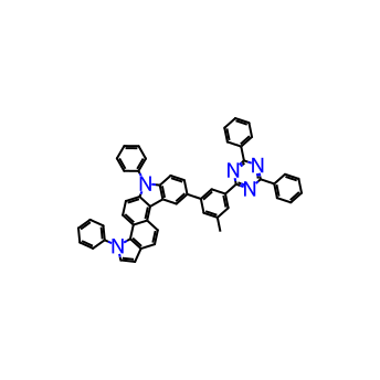 Cc1cc(-c2ccc3c(c2)c2c4ccc5ccn(-c6ccccc6)c5c4ccc2n3-c2ccccc2)cc(-c2nc(-c3ccccc3)nc(-c3ccccc3)n2)c1